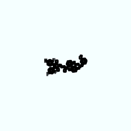 COc1cccc(CN(CCSc2ccccc2)Cc2ccc(CNC(=O)CCCN3C(=O)C(c4ccc(F)cc4F)=C(c4ccc(F)cc4F)C3=O)cc2)c1